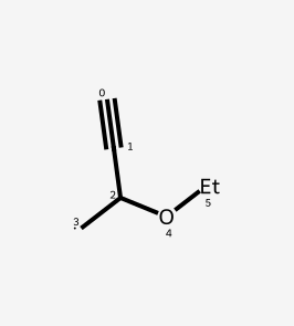 C#CC([CH2])OCC